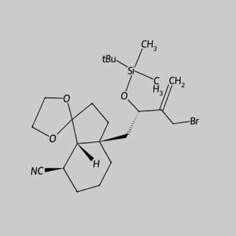 C=C(CBr)[C@H](C[C@@]12CCC[C@@H](C#N)[C@@H]1C1(CC2)OCCO1)O[Si](C)(C)C(C)(C)C